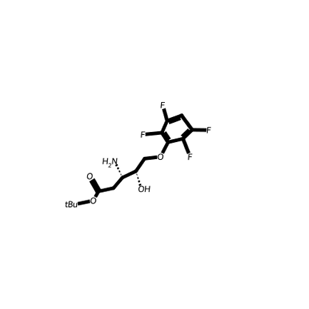 CC(C)(C)OC(=O)C[C@H](N)[C@@H](O)COc1c(F)c(F)cc(F)c1F